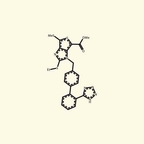 CCSc1nc2c(SC)sc(C(=O)OC)c2n1Cc1ccc(-c2ccccc2-c2nnn[nH]2)cc1